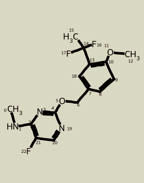 CNc1nc(OCc2ccc(OC)c(C(C)(F)F)c2)ncc1F